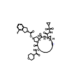 O=C1N[C@]2(C(=O)NS(=O)(=O)C3CC3)C[C@H]2/C=C\CCCCC[C@H](NC(=O)N2CCOCC2)C(=O)N2C[C@H](OC(=O)N3Cc4cccc(F)c4C3)C[C@@H]12